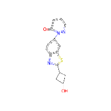 O=c1cccnn1-c1ccc2nc(C3CC(O)C3)sc2c1